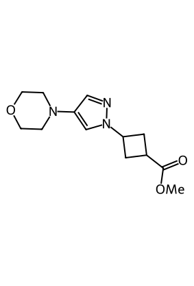 COC(=O)C1CC(n2cc(N3CCOCC3)cn2)C1